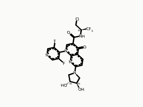 O=C(N[C@@H](CCl)C(F)(F)F)c1cn(-c2c(F)cncc2F)c2nc(N3C[C@@H](O)[C@H](O)C3)ccc2c1=O